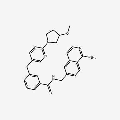 COC1CCN(c2ccc(Cc3cncc(C(=O)NCc4ccc5c(N)nccc5c4)c3)cn2)C1